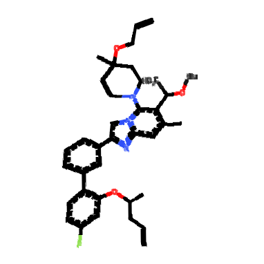 C=CCOC1(C)CCN(c2c(C(OC(C)(C)C)C(=O)O)c(C)cc3nc(-c4cccc(-c5ccc(F)cc5O[C@@H](C)CC=C)c4)cn23)CC1